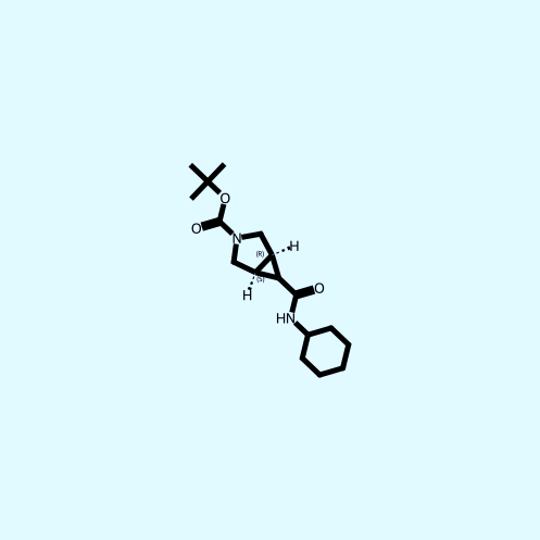 CC(C)(C)OC(=O)N1C[C@@H]2C(C(=O)NC3CCCCC3)[C@@H]2C1